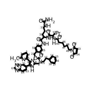 Cc1cccc(-c2nc(CN(CCc3ccccc3)C(=O)OCc3ccc(NC(=O)C(CCCNC(N)=O)NC(=O)C(NC(=O)CCCCCN4C(=O)C=CC4=O)C(C)C)cc3)[nH]c2-c2ccc3ncnn3c2)n1